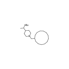 CCCCC(C)C1CCN(CC2CCCCCCCCCCCC2)CC1